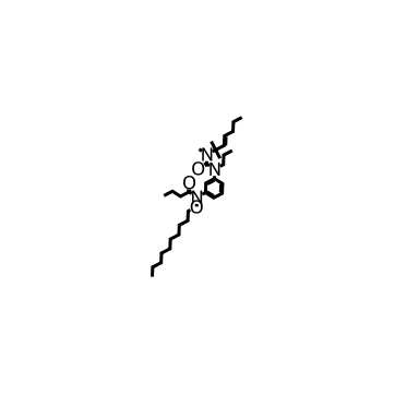 CCCC=CC(C)(C)N(C)C(=O)N(CCC)c1cccc(N(OCCCCCCCCCC)C(=O)CCC)c1